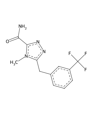 Cn1c(Cc2cccc(C(F)(F)F)c2)nnc1C(N)=O